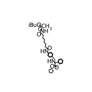 CC(C)COC(C)ONC(=O)CCCCCCC(=O)Nc1ccc(CNC(C(=O)OC2CCCC2)c2ccccc2)cc1